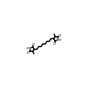 CC1=C(CCCCCCCCC2=C(C)C(=O)NC2=O)C(=O)NC1=O